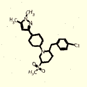 Cc1cc(C2CCC(N3CC(S(C)(=O)=O)CCC3Cc3ccc(Cl)cc3)CC2)nn1C